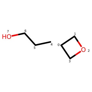 C1COC1.CCCO